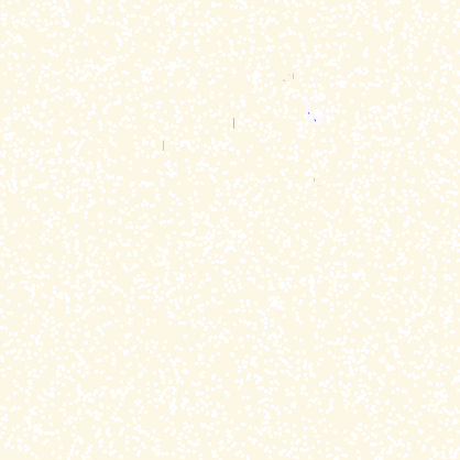 CC1=Cc2c(-c3ccccc3)cccc2C1[Si](C)(C)NC(C)(C)C